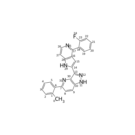 Cc1ccccc1-c1ccc2[nH]nc(-c3cc4c(-c5ccccc5F)nccc4[nH]3)c2n1